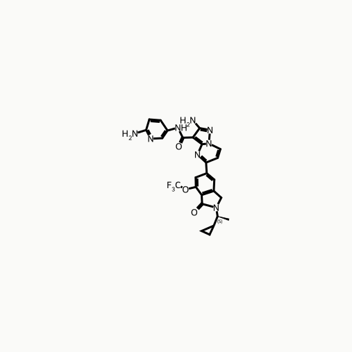 C[C@@H](C1CC1)N1Cc2cc(-c3ccn4nc(N)c(C(=O)Nc5ccc(N)nc5)c4n3)cc(OC(F)(F)F)c2C1=O